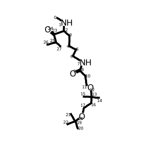 CNC(CCCCNC(=O)CCOC(C)(C)CCOC(C)(C)C)C(=O)C(C)C